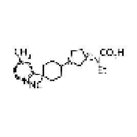 CCN(C(=O)O)[C@@H]1CCN(C2CCC(C#N)(c3cc(C)ccn3)CC2)C1